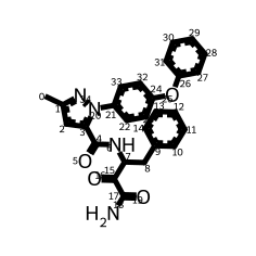 Cc1cc(C(=O)NC(Cc2ccccc2)C(=O)C(N)=O)n(-c2ccc(Oc3ccccc3)cc2)n1